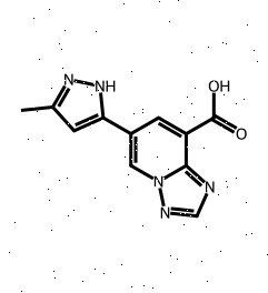 Cc1cc(-c2cc(C(=O)O)c3ncnn3c2)[nH]n1